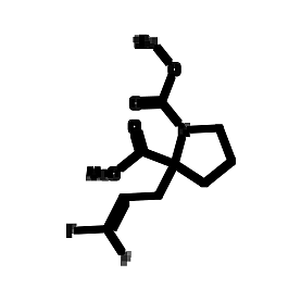 COC(=O)C1(CC=C(F)F)CCCN1C(=O)OC(C)(C)C